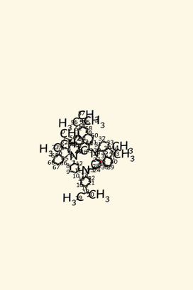 C=C/C=C\C1=C(N2c3cccc(c3)N(c3ccc(C(C)C)cc3)c3cccc(c3)N(c3cccc4c3-c3ccccc3C4(C)C)c3cc2c2ccc4cc(C(C)(C)C)cc5ccc3c2c45)c2ccccc2C1(C)C